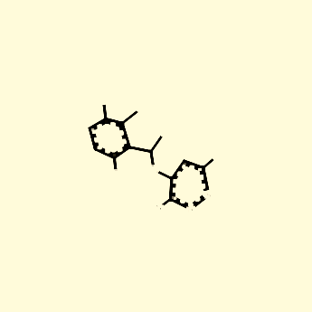 CC(Oc1cc(Cl)nnc1N)c1c(Cl)ccc(F)c1Cl